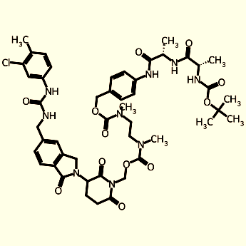 Cc1ccc(NC(=O)NCc2ccc3c(c2)CN(C2CCC(=O)N(COC(=O)N(C)CCN(C)C(=O)OCc4ccc(NC(=O)[C@H](C)NC(=O)[C@H](C)NC(=O)OC(C)(C)C)cc4)C2=O)C3=O)cc1Cl